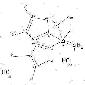 CC1=C(C)C[C]([Zr]([CH3])(=[SiH2])([C]2=CC(C)=C(C)C2)[CH](C)C)=C1.Cl.Cl